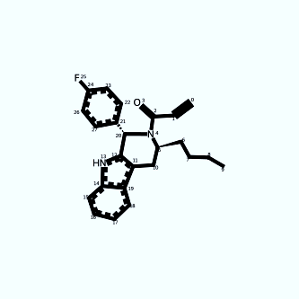 C#CC(=O)N1[C@@H](CCCC)Cc2c([nH]c3ccccc23)[C@@H]1c1ccc(F)cc1